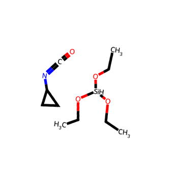 CCO[SiH](OCC)OCC.O=C=NC1CC1